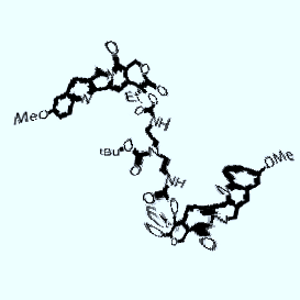 CC[C@@]1(OC(=O)NCCN(CCNC(=O)O[C@]2(CC)C(=O)OCc3c2cc2n(c3=O)Cc3cc4cc(OC)ccc4nc3-2)C(=O)OC(C)(C)C)C(=O)OCc2c1cc1n(c2=O)Cc2cc3cc(OC)ccc3nc2-1